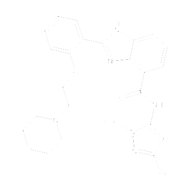 Cc1cc(NC(=O)c2cccc3[nH]c(-c4ccccc4OCCN4CCOCC4)nc23)n(C)n1